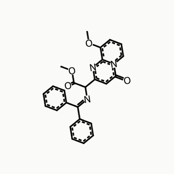 COC(=O)C(N=C(c1ccccc1)c1ccccc1)c1cc(=O)n2cccc(OC)c2n1